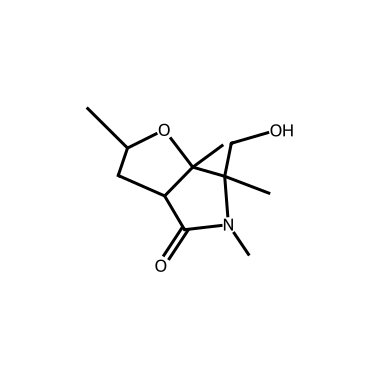 CC1CC2C(=O)N(C)C(C)(CO)C2(C)O1